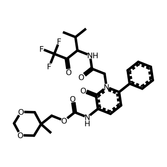 CC(C)C(NC(=O)Cn1c(-c2ccccc2)ccc(NC(=O)OCC2(C)COCOC2)c1=O)C(=O)C(F)(F)F